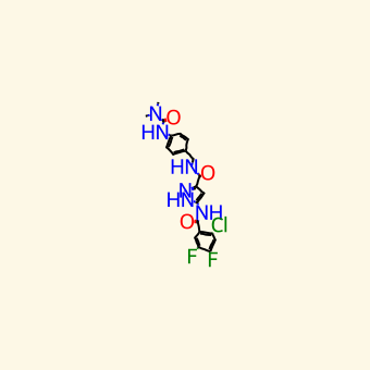 CN(C)C(=O)Nc1ccc(CNC(=O)c2cc(NC(=O)c3cc(F)c(F)cc3Cl)[nH]n2)cc1